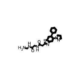 NCNC(=O)CNC(=O)Cc1nc2cc(-n3cccn3)c(-c3ccccc3)cc2s1